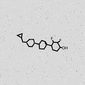 OC1CCC(C2=CCC(C3CCC(CC4CC4)CC3)CC2)C(F)C1F